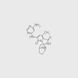 Cc1cc(Nc2cc(N)ncn2)c(=O)n2c1C(=O)NC21CC2CCC(C1)N2